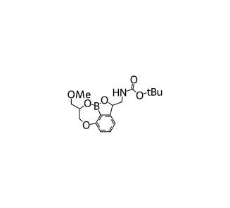 COCC1COc2cccc3c2B(O1)OC3CNC(=O)OC(C)(C)C